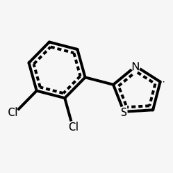 Clc1cccc(-c2n[c]cs2)c1Cl